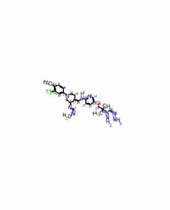 C\N=C/N=C1/CN(c2ccc(C#N)c(Cl)c2)CC/C1=C\Nc1ccc(OCC(C)(C)N(N)/C=N\N)cn1